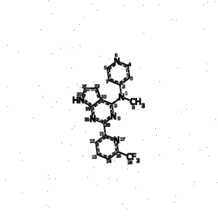 CN(c1ccncc1)c1nc(-c2cccc(C(F)(F)F)n2)nc2[nH]ccc12